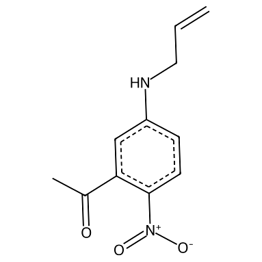 C=CCNc1ccc([N+](=O)[O-])c(C(C)=O)c1